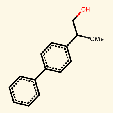 COC(CO)c1ccc(-c2ccccc2)cc1